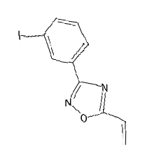 C=Cc1nc(-c2cccc(I)c2)no1